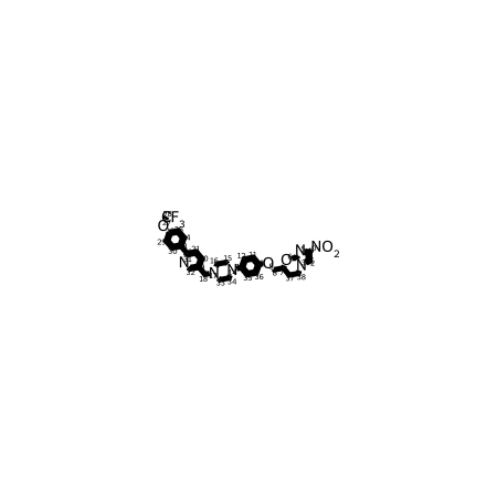 O=[N+]([O-])c1cn2c(n1)OC(COc1ccc(N3CCN(Cc4ccc(-c5ccc(OC(F)(F)F)cc5)nc4)CC3)cc1)CC2